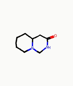 O=C1CC2CCCCN2CN1